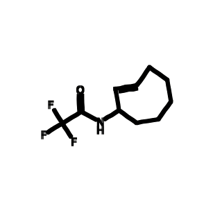 O=C(NC1/C=C/CCCCC1)C(F)(F)F